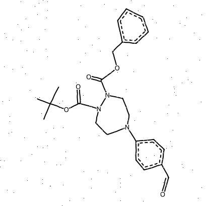 CC(C)(C)OC(=O)N1CCN(c2ccc(C=O)cc2)CCN1C(=O)OCc1ccccc1